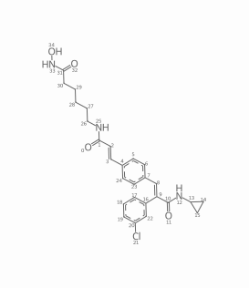 O=C(C=Cc1ccc(/C=C(/C(=O)NC2CC2)c2cccc(Cl)c2)cc1)NCCCCCC(=O)NO